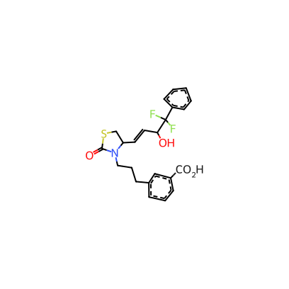 O=C(O)c1cccc(CCCN2C(=O)SCC2/C=C/C(O)C(F)(F)c2ccccc2)c1